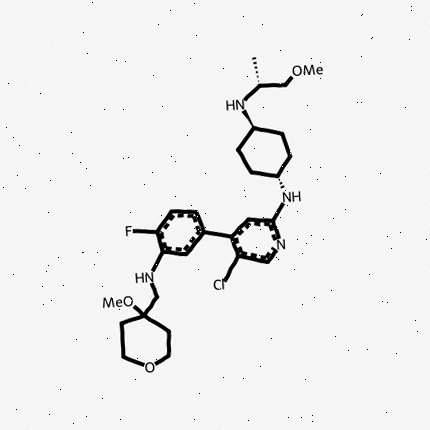 COC[C@@H](C)N[C@H]1CC[C@H](Nc2cc(-c3ccc(F)c(NCC4(OC)CCOCC4)c3)c(Cl)cn2)CC1